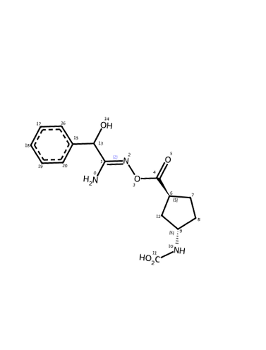 N/C(=N\OC(=O)[C@H]1CC[C@H](NC(=O)O)C1)C(O)c1ccccc1